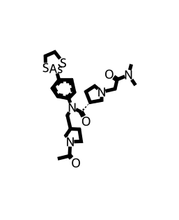 CC(=O)N1CCC(CN(C(=O)[C@@H]2CCN(CC(=O)N(C)C)C2)c2ccc([As]3SCCS3)cc2)C1